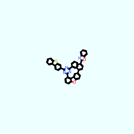 c1ccc(-c2nc(-c3ccc4c(c3)sc3ccccc34)nc(-c3cccc4oc5ccc(-c6ccc(-c7nc8ccccc8o7)cc6)cc5c34)n2)cc1